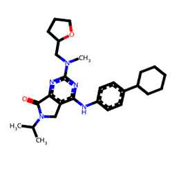 CC(C)N1Cc2c(Nc3ccc(C4CCCCC4)cc3)nc(N(C)CC3CCCO3)nc2C1=O